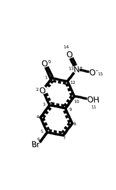 O=c1oc2cc(Br)ccc2c(O)c1[N+](=O)[O-]